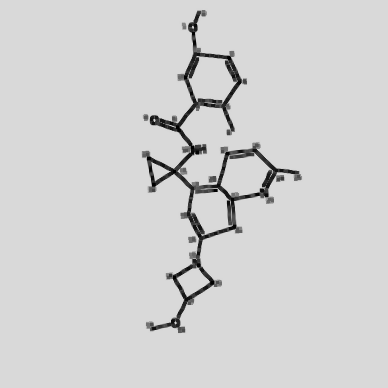 COc1ccc(C)c(C(=O)NC2(c3cc(N4CC(OC)C4)cc4nc(C)ccc34)CC2)c1